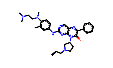 C=CCN1CC[C@H](n2c(=O)c(-c3ccccc3)nc3cnc(Nc4ccc(N(C)CCN(C)C)c(C)c4)nc32)C1